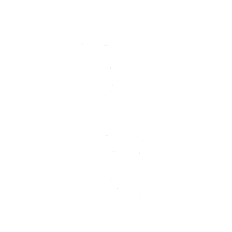 FC(F)(F)c1c(Br)cccc1OC1CCC(CCCCOCc2ccccc2)CC1